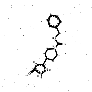 O=C(OCc1ccccc1)N1CCC(c2n[nH]c(=O)o2)CC1